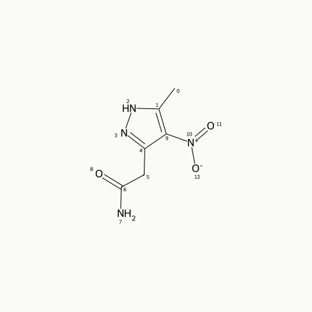 Cc1[nH]nc(CC(N)=O)c1[N+](=O)[O-]